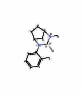 Cc1ccccc1N1C2CCC(C2)N(C)[C@@H]1C